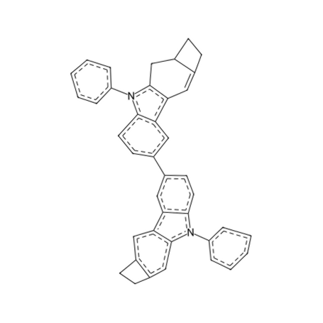 C1=C2CCC2Cc2c1c1cc(-c3ccc4c(c3)c3cc5c(cc3n4-c3ccccc3)CC5)ccc1n2-c1ccccc1